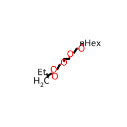 C=C(CC)C(=O)OCCOCCOCCOCCCCCC